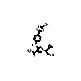 Cc1nc(-c2ccc(Nc3nn(C(CC#N)C4CC4)cc3C(N)=O)cc2)no1